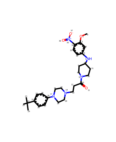 COc1cc(NC2CCN(C(=O)CCN3CCN(c4ccc(C(C)(C)C)cc4)CC3)CC2)ccc1[N+](=O)[O-]